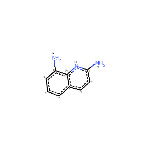 Nc1ccc2cccc(N)c2n1